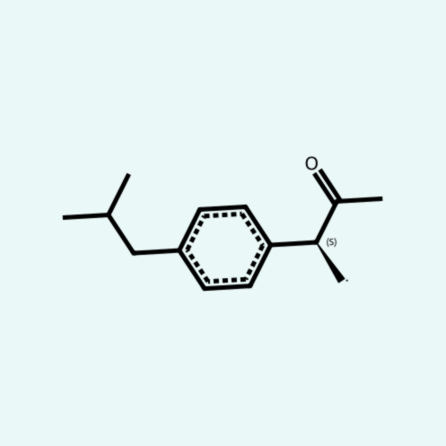 [CH2][C@H](C(C)=O)c1ccc(CC(C)C)cc1